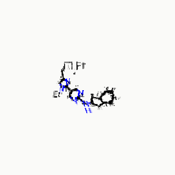 CCOC(=O)Cc1cn(CC)c(-c2cnc(NC3Cc4ccccc4C3)nc2)n1